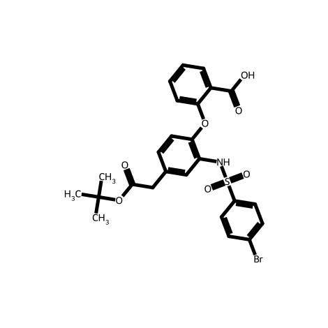 CC(C)(C)OC(=O)Cc1ccc(Oc2ccccc2C(=O)O)c(NS(=O)(=O)c2ccc(Br)cc2)c1